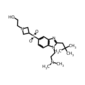 CN(C)CCn1c(CC(C)(C)C)nc2cc(S(=O)(=O)C3CN(CCO)C3)ccc21